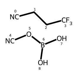 N#CCCC(F)(F)F.N#COB(O)O